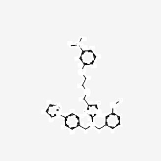 COc1cccc(CN(Cc2ccc(-n3cccn3)cc2)c2nc(COCCOc3cccc(N(C)C)c3)co2)c1